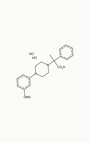 COc1cccc(N2CCN(C(C)(C(=O)O)c3ccccc3)CC2)c1.Cl.Cl